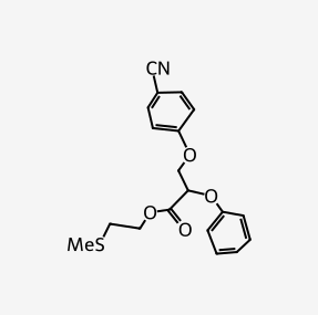 CSCCOC(=O)C(COc1ccc(C#N)cc1)Oc1ccccc1